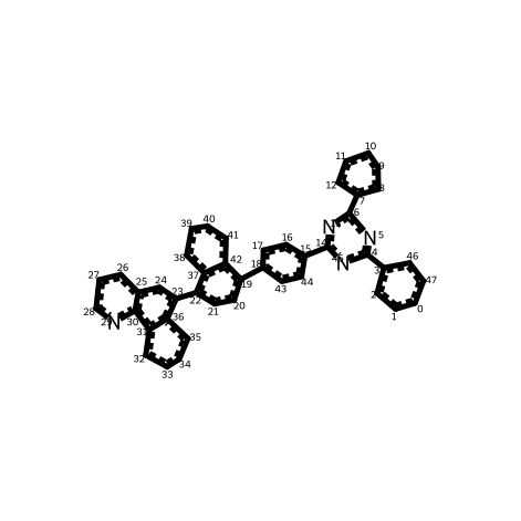 c1ccc(-c2nc(-c3ccccc3)nc(-c3ccc(-c4ccc(-c5cc6cccnc6c6ccccc56)c5ccccc45)cc3)n2)cc1